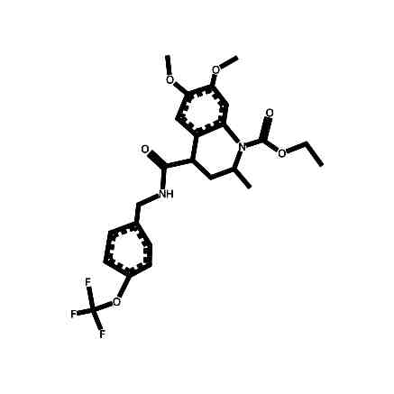 CCOC(=O)N1c2cc(OC)c(OC)cc2C(C(=O)NCc2ccc(OC(F)(F)F)cc2)CC1C